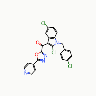 O=C(c1nnc(-c2ccncc2)o1)c1c(Cl)n(Cc2ccc(Cl)cc2)c2ccc(Cl)cc12